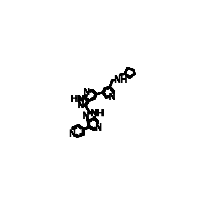 c1cc(-c2cncc3[nH]c(-c4n[nH]c5ncc(-c6cncc(CNCC7CCCC7)c6)cc45)nc23)ccn1